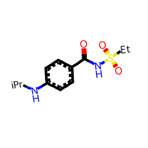 CCS(=O)(=O)NC(=O)c1ccc(NC(C)C)cc1